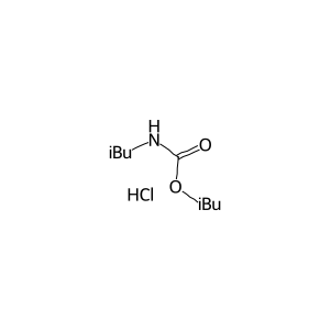 CCC(C)NC(=O)OC(C)CC.Cl